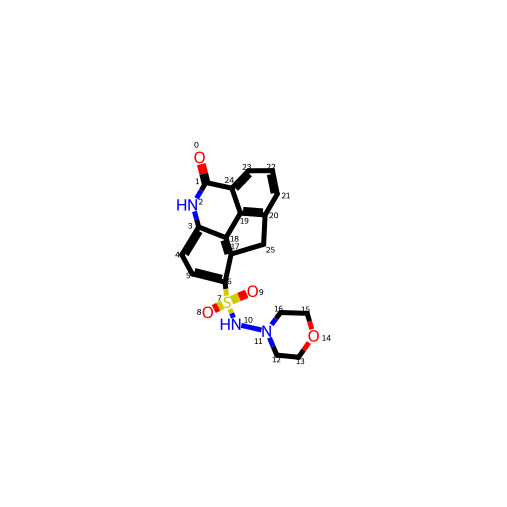 O=c1[nH]c2ccc(S(=O)(=O)NN3CCOCC3)c3c2c2c(cccc12)C3